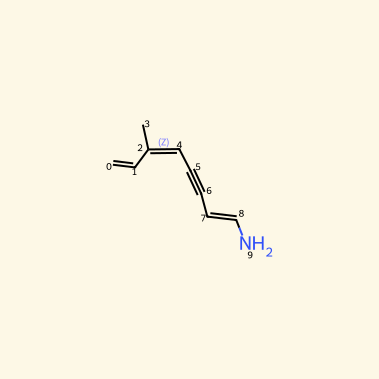 C=C/C(C)=C\C#CC=CN